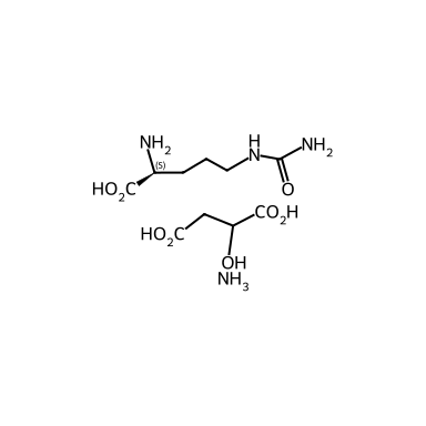 N.NC(=O)NCCC[C@H](N)C(=O)O.O=C(O)CC(O)C(=O)O